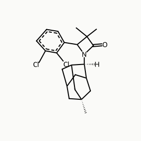 CC1(C)C(=O)N([C@H]2C3CC4CC2C[C@](C)(C4)C3)C1c1cccc(Cl)c1Cl